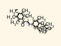 Cc1cc(/C=C/C(=O)c2c(C)c(C)c(C)c(C)c2C)cc(C)c1OC(C)(C)C(=O)O